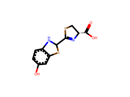 O=C(O)[C@H]1CSC(C2Nc3ccc(O)cc3S2)=N1